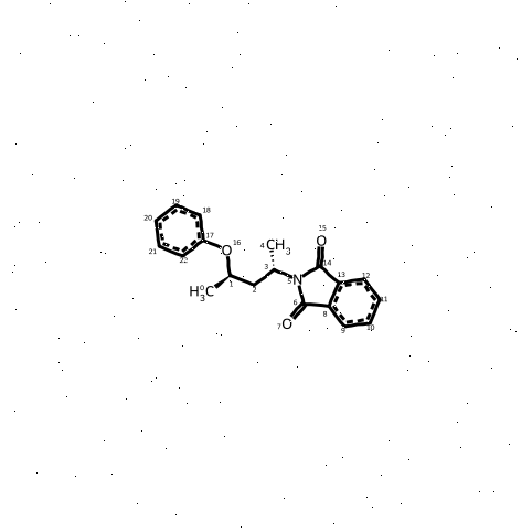 C[C@H](C[C@H](C)N1C(=O)c2ccccc2C1=O)Oc1ccccc1